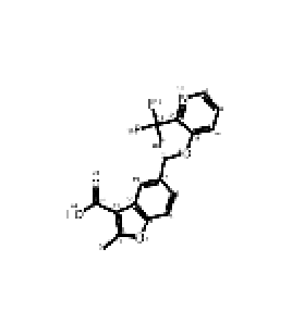 Cc1oc2ccc(COc3cccnc3C(F)(F)F)cc2c1C(=O)O